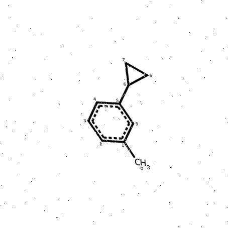 Cc1cccc(C2CC2)c1